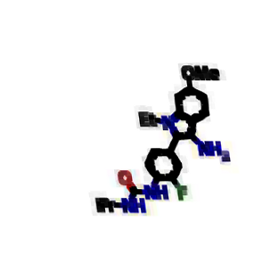 CCn1c(-c2ccc(NC(=O)NC(C)C)c(F)c2)c(N)c2ccc(OC)cc21